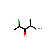 COC(C)C(=O)C(C)F